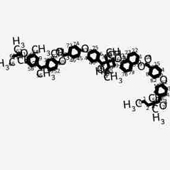 CCCC(C)(C)C(=O)c1ccc(Oc2ccc(C(=O)Oc3cccc4c(OC(C)(CC)C(CC)(CCC)C(=O)c5ccc(Oc6ccc(C(=O)Oc7ccc(C(C)c8ccc(OC(C)(C)CC)c(C)c8)cc7C)cc6)cc5)cccc34)cc2)cc1